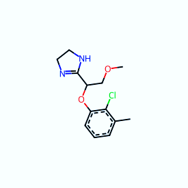 COCC(Oc1cccc(C)c1Cl)C1=NCCN1